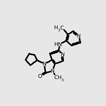 Cc1cnccc1Nc1cc2c(cn1)n(C)c(=O)n2C1CCCC1